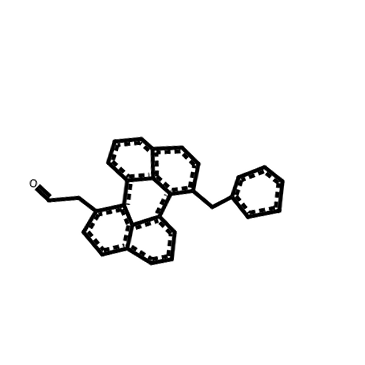 O=CCc1ccc2cccc3c4c(Cc5ccccc5)ccc5cccc(c1c23)c54